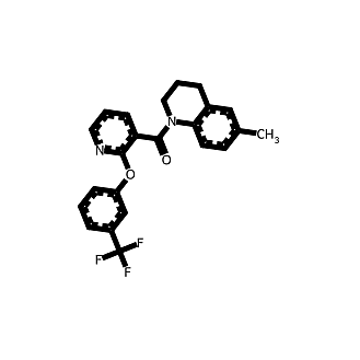 Cc1ccc2c(c1)CCCN2C(=O)c1cccnc1Oc1cccc(C(F)(F)F)c1